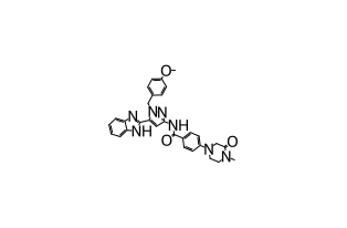 COc1ccc(Cn2nc(NC(=O)c3ccc(N4CCN(C)C(=O)C4)cc3)cc2-c2nc3ccccc3[nH]2)cc1